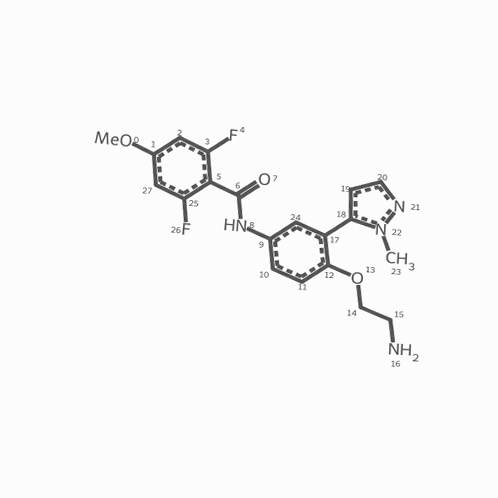 COc1cc(F)c(C(=O)Nc2ccc(OCCN)c(-c3ccnn3C)c2)c(F)c1